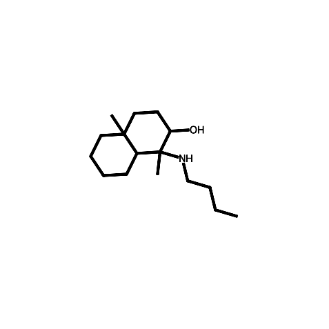 CCCCNC1(C)C(O)CCC2(C)CCCCC21